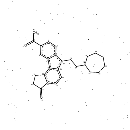 CC(=O)c1ccc2c(c1)c1c3c(ccc1n2CCN1CCCCCC1)C(=O)CC3